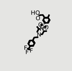 Cc1ccc(S(=O)(=O)N2C(C)CN(CCc3ccc(C(F)(F)F)cc3)CC2C)cc1CC(=O)O